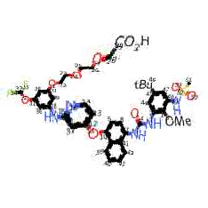 COc1c(NC(=O)Nc2ccc(Oc3ccnc(Nc4cc(OCCOCCOCC(=O)O)cc(OC(F)F)c4)c3)c3ccccc23)cc(C(C)(C)C)cc1NS(C)(=O)=O